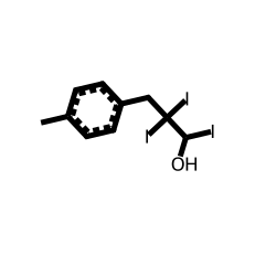 Cc1ccc(CC(I)(I)C(O)I)cc1